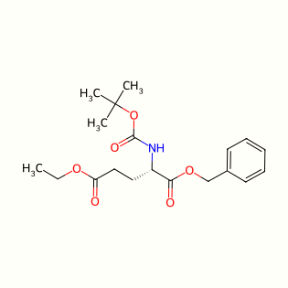 CCOC(=O)CC[C@H](NC(=O)OC(C)(C)C)C(=O)OCc1ccccc1